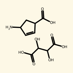 NC1C=CC(C(=O)O)C1.O=C(O)C(O)C(O)C(=O)O